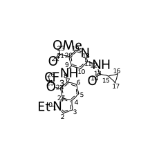 CCn1ccc2ccc(Nc3cc(NC(=O)C4CC4)ncc3C(=O)OC)c(OC(F)(F)F)c21